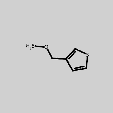 BOCc1ccsc1